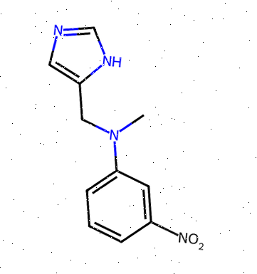 CN(Cc1cnc[nH]1)c1cccc([N+](=O)[O-])c1